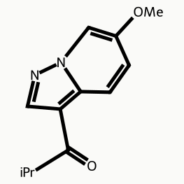 COc1ccc2c(C(=O)C(C)C)cnn2c1